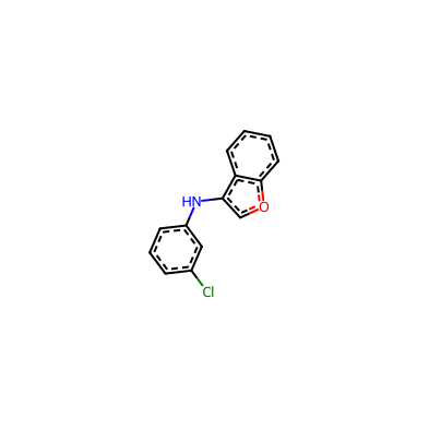 Clc1cccc(Nc2coc3ccccc23)c1